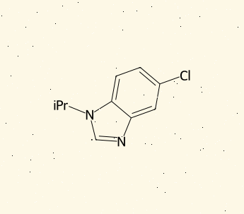 CC(C)n1[c]nc2cc(Cl)ccc21